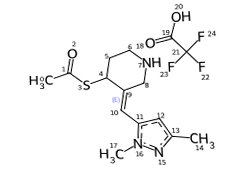 CC(=O)SC1CCNC/C1=C\c1cc(C)nn1C.O=C(O)C(F)(F)F